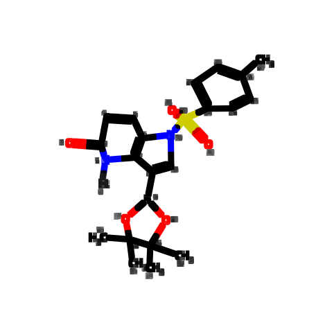 CCn1c(=O)ccc2c1c(B1OC(C)(C)C(C)(C)O1)cn2S(=O)(=O)c1ccc(C)cc1